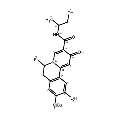 CCC1Cc2cc(OCC(C)C)c(O)cc2-c2cc(=O)c(C(=O)NC(C)CO)cn21